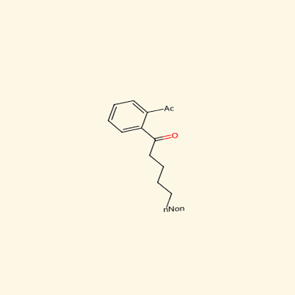 CCCCCCCCCCCCCC(=O)c1ccccc1C(C)=O